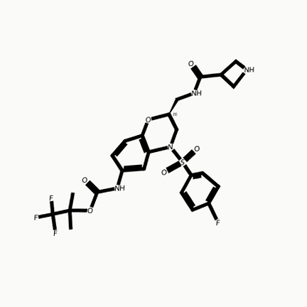 CC(C)(OC(=O)Nc1ccc2c(c1)N(S(=O)(=O)c1ccc(F)cc1)C[C@H](CNC(=O)C1CNC1)O2)C(F)(F)F